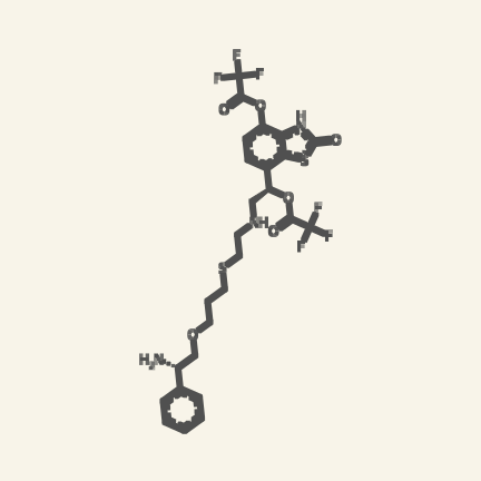 N[C@H](COCCCSCCNC[C@H](OC(=O)C(F)(F)F)c1ccc(OC(=O)C(F)(F)F)c2[nH]c(=O)sc12)c1ccccc1